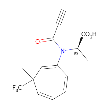 C#CC(=O)N(C1=CC(C)(C(F)(F)F)C=CC=C1)[C@H](C)C(=O)O